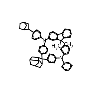 CC1(C)c2ccccc2-c2ccc(N(c3ccc(C4CC5CCC4C5)cc3)c3ccc(C4(c5ccc(N(c6ccccc6)c6ccccc6)cc5)C5CC6CC(C5)CC4C6)cc3)cc21